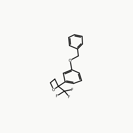 FC(F)(F)C1(c2cccc(OCc3ccccc3)c2)CCO1